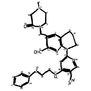 CN1CCN(Cc2cc3c(nc2C=O)N(c2cc(NCCSc4ccccc4)c(C#N)cn2)CCC3)C(=O)C1